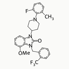 COc1cccc2c1n(Cc1ccccc1C(F)(F)F)c(=O)n2C1CCN(c2c(C)cccc2F)CC1